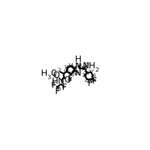 COCC(C(=O)NC(F)C(F)F)c1ccc2[nH]c([C@@H](N)C3CCC(F)(F)CC3)nc2c1F